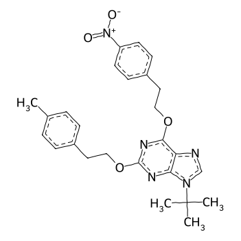 Cc1ccc(CCOc2nc(OCCc3ccc([N+](=O)[O-])cc3)c3ncn(C(C)(C)C)c3n2)cc1